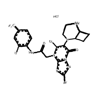 CCc1c(N2CCNC3CCC32)c(=O)n2nc(Br)nc2n1CC(=O)Nc1ccc(C(F)(F)F)cc1Cl.Cl